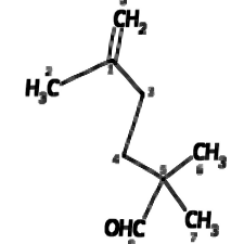 C=C(C)CCC(C)(C)C=O